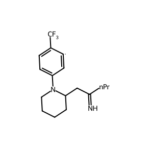 CCCC(=N)CC1CCCCN1c1c[c]c(C(F)(F)F)cc1